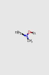 CCCN(C)OCC